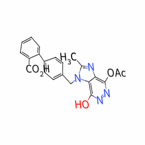 CC(=O)Oc1nnc(O)c2c1nc(C)n2Cc1ccc(-c2ccccc2C(=O)O)cc1